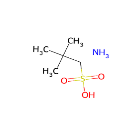 CC(C)(C)CS(=O)(=O)O.N